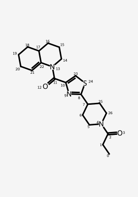 CCC(=O)N1CCC(c2nc(C(=O)N3CCCC4CCCC=C43)cs2)CC1